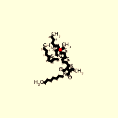 CCCCCCCCN1C(=O)c2c(C)sc(-c3cc4c(s3)-c3sc(C)cc3[Si]4(Cc3ccc(CCCC)s3)Cc3ccc(CCCC)s3)c2C1=O